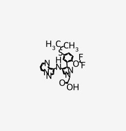 CC(C)Sc1ccc(OC(F)F)c(-c2nn(CC(=O)O)cc2Nc2cnn3cccnc23)c1